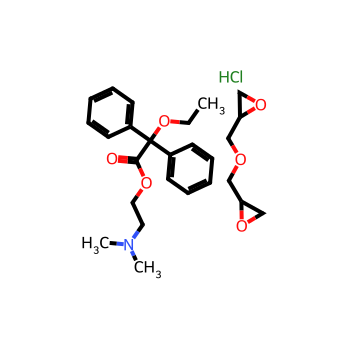 C(OCC1CO1)C1CO1.CCOC(C(=O)OCCN(C)C)(c1ccccc1)c1ccccc1.Cl